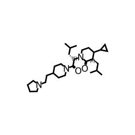 CC(C)C[C@H]1C(=O)N([C@@H](CC(C)C)C(=O)N2CCC(CCN3CCCC3)CC2)CCC1C1CC1